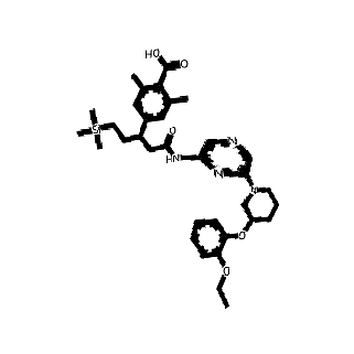 CCOc1ccccc1OC1CCCN(c2cncc(NC(=O)CC(CC[Si](C)(C)C)c3cc(C)c(C(=O)O)c(C)c3)n2)C1